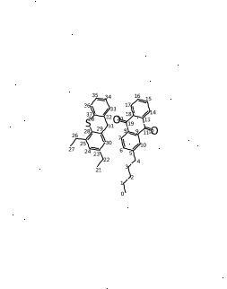 CCCCCc1ccc2c(c1)C(=O)c1ccccc1C2=O.CCc1cc(CC)c2c(c1)Cc1ccccc1S2